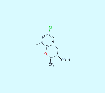 Cc1cc(Cl)cc2c1O[C@H](C(F)(F)F)[C@H](C(=O)O)C2